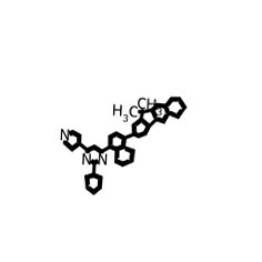 CC1(C)c2cc(-c3ccc(-c4cc(-c5ccncc5)nc(-c5ccccc5)n4)c4ccccc34)ccc2-c2cc3ccccc3cc21